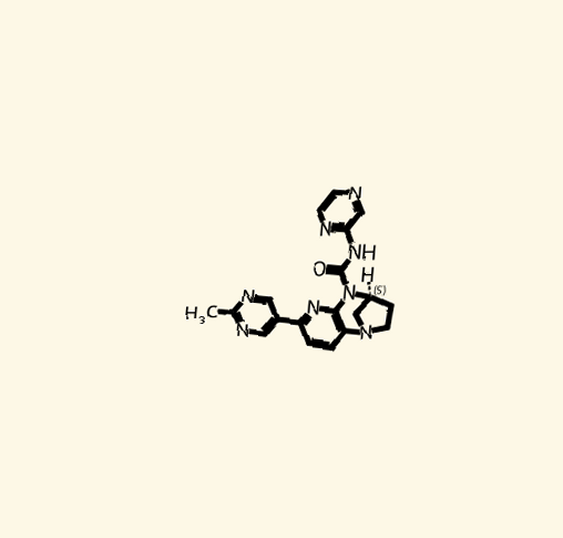 Cc1ncc(-c2ccc3c(n2)N(C(=O)Nc2cnccn2)[C@H]2CCN3C2)cn1